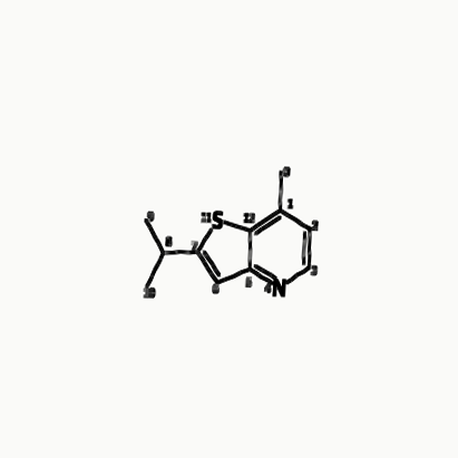 Cc1ccnc2cc(C(C)C)sc12